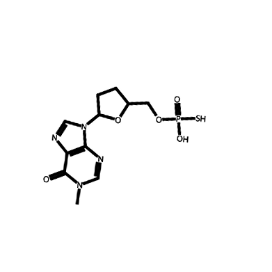 Cn1cnc2c(ncn2C2CCC(COP(=O)(O)S)O2)c1=O